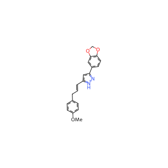 COc1ccc(C/C=C/c2cc(-c3ccc4c(c3)OCO4)n[nH]2)cc1